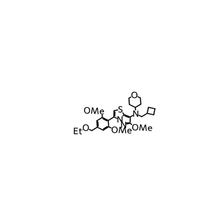 CCOCc1cc(OC)c(-c2csc3c(N(CC4CCC4)C4CCOCC4)c(OC)nn23)c(OC)c1